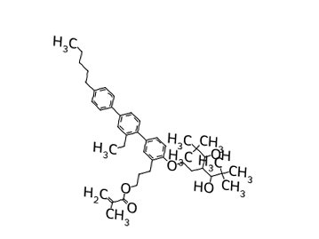 C=C(C)C(=O)OCCCc1cc(-c2ccc(-c3ccc(CCCCC)cc3)cc2CC)ccc1OCCC(C(O)C(C)(C)C)C(O)C(C)(C)C